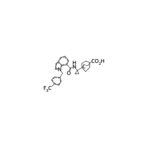 O=C(NC1(C23CCC(C(=O)O)(CC2)CC3)CC1)c1cccc2ccn(Cc3ccc(C(F)(F)F)cc3)c12